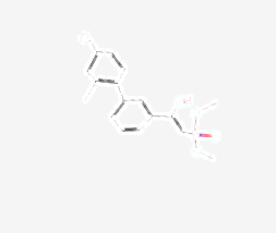 COP(=O)(/C=C(\O)c1cccc(-c2ccc(Cl)cc2C)c1)OC